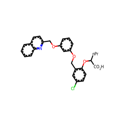 CCCC(Oc1ccc(Cl)cc1COc1cccc(OCc2ccc3ccccc3n2)c1)C(=O)O